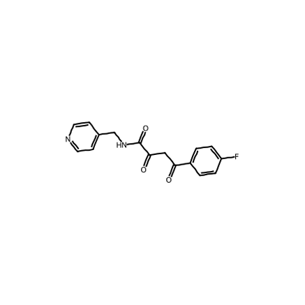 O=C(CC(=O)c1ccc(F)cc1)C(=O)NCc1ccncc1